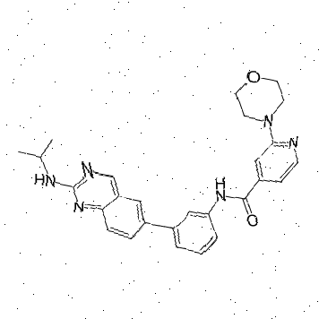 CC(C)Nc1ncc2cc(-c3cccc(NC(=O)c4ccnc(N5CCOCC5)c4)c3)ccc2n1